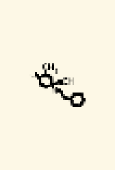 C#CC1(/N=C/Cc2ccccc2)C=CC(=O)C(C)=C1